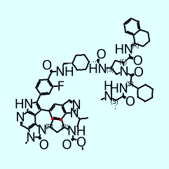 CN[C@@H](C)C(=O)N[C@H](C(=O)N1C[C@@H](NC(=O)[C@H]2CC[C@H](CNC(=O)c3ccc(-c4[nH]c5ncc6c(c5c4-c4ccc5c(cnn5C(C)C)c4)n([C@@H]4CC[C@@H](NC(=O)OC)C4)c(=O)n6C)cc3F)CC2)C[C@H]1C(=O)N[C@@H]1CCCc2ccccc21)C1CCCCC1